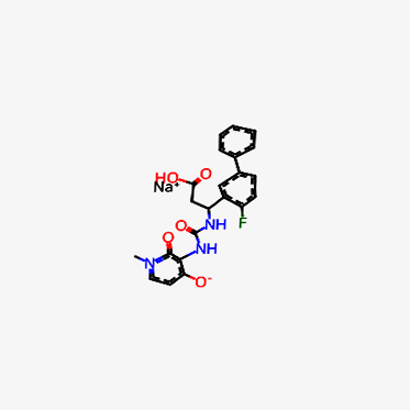 Cn1ccc([O-])c(NC(=O)NC(CC(=O)O)c2cc(-c3ccccc3)ccc2F)c1=O.[Na+]